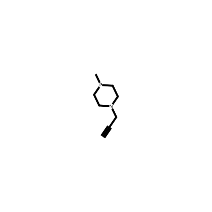 C#CCN1CCP(C)CC1